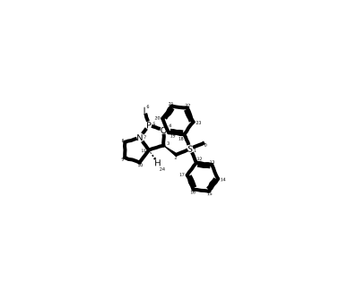 CS(C[C@@H]1OP(I)N2CCC[C@H]12)(c1ccccc1)c1ccccc1